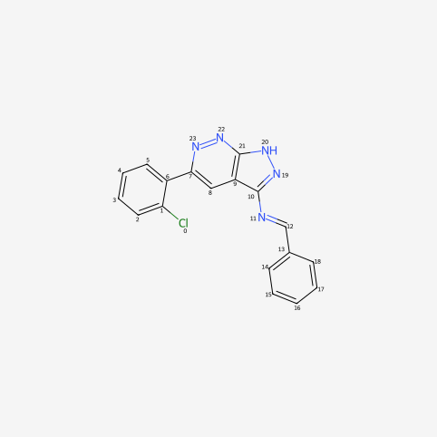 Clc1ccccc1-c1cc2c(/N=C/c3ccccc3)n[nH]c2nn1